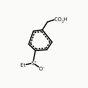 CC[S+]([O-])c1ccc(CC(=O)O)cc1